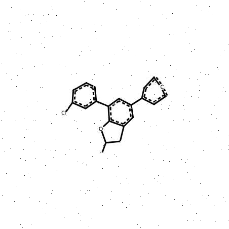 [CH2]C1Cc2cc(-c3ccccc3)cc(-c3cccc(Cl)c3)c2O1